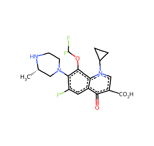 C[C@H]1CN(c2c(F)cc3c(=O)c(C(=O)O)cn(C4CC4)c3c2OC(F)F)CCN1